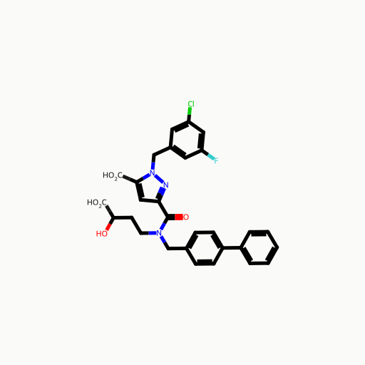 O=C(O)c1cc(C(=O)N(CCC(O)C(=O)O)Cc2ccc(-c3ccccc3)cc2)nn1Cc1cc(F)cc(Cl)c1